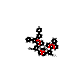 CC(C)(C)c1cc(-c2ccccc2)c(N2c3cc(-n4c5ccccc5c5ccccc54)ccc3B3c4ccc(-n5c6ccc(-c7ccccc7)cc6c6cc(-c7ccccc7)ccc65)cc4N(c4c(-c5ccccc5)cc(C(C)(C)C)cc4-c4ccccc4)c4cccc2c43)c(-c2ccccc2)c1